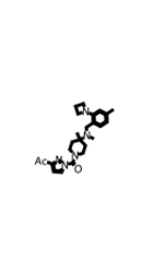 CC(=O)c1ccn(C(=O)N2CCC(C)(N(C)Cc3ccc(C)cc3N3CCC3)CC2)n1